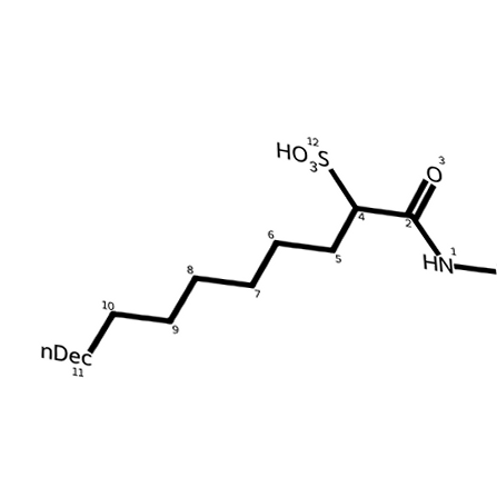 [CH2]CNC(=O)C(CCCCCCCCCCCCCCCC)S(=O)(=O)O